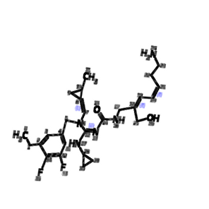 CCc1cc(CN(/C=C2\CC2C)/C(=N\C(=O)NC/C(=C/C=C\CCN)CO)NC2CC2)cc(F)c1F